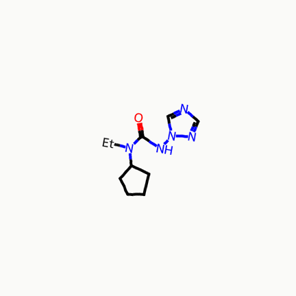 CCN(C(=O)Nn1cncn1)C1CCCC1